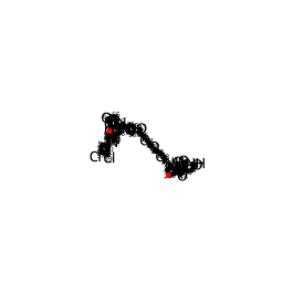 Cn1c(=O)c2c(nc(N3CCN(C(=O)CCOCCOCCOCCNc4cccc5c4C(=O)N(C4CCC(=O)NC4=O)C5=O)CC3)n2CC2=NN=C(c3ccc(Cl)c(Cl)c3)CCO2)n(C)c1=O